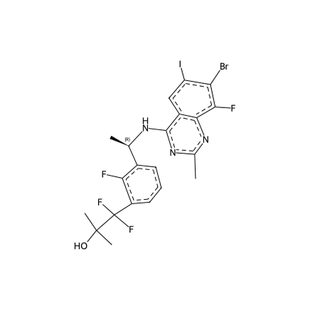 Cc1nc(N[C@H](C)c2cccc(C(F)(F)C(C)(C)O)c2F)c2cc(I)c(Br)c(F)c2n1